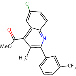 COC(=O)c1c(C)c(-c2cccc(C(F)(F)F)c2)nc2ccc(Cl)cc12